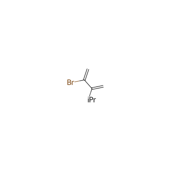 C=C(Br)C(=C)C(C)C